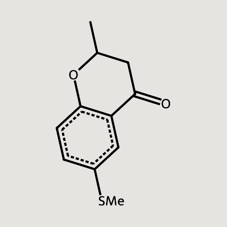 CSc1ccc2c(c1)C(=O)CC(C)O2